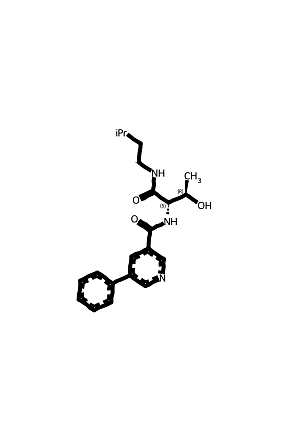 CC(C)C[CH]NC(=O)[C@@H](NC(=O)c1cncc(-c2ccccc2)c1)[C@@H](C)O